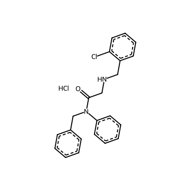 Cl.O=C(CNCc1ccccc1Cl)N(Cc1ccccc1)c1ccccc1